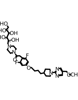 COCc1cnc(N2CCC(CCCCOc3cc(F)c(CC(=O)N4CCN(C[C@H](O)[C@@H](O)[C@H](O)[C@H](O)CO)CC4)c(F)c3)CC2)nc1